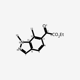 CCOC(=O)C(=O)c1ccc2cnn(C)c2c1C